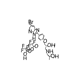 CC(O)CNCC(O)COc1ccc(-c2nc3cc(Br)cnc3[nH]2)cc1.O=C(O)C(F)(F)F.O=C(O)C(F)(F)F